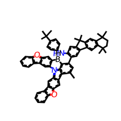 Cc1cc(-c2cc3c(cc2Nc2ccc(C(C)(C)C)cc2)C(C)(C)c2cc4c(cc2-3)C(C)(C)CCC4(C)C)c2c3c1c1cc4oc5ccccc5c4cc1n3-c1cc3c(cc1B2)oc1ccccc13